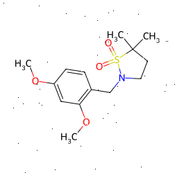 COc1ccc(CN2CCC(C)(C)S2(=O)=O)c(OC)c1